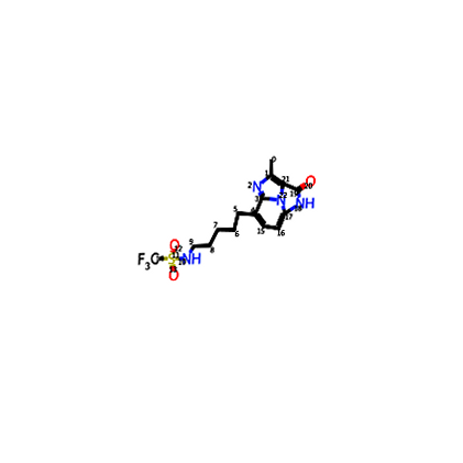 Cc1nc2c(CCCCCNS(=O)(=O)C(F)(F)F)ccc3[nH]c(=O)c1n32